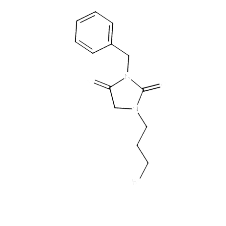 O=C1CN(CCCBr)C(=O)N1Cc1ccccc1